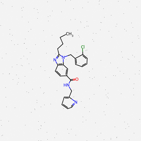 CCCCc1nc2ccc(C(=O)NCc3ccccn3)cc2n1Cc1ccccc1Cl